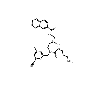 C#Cc1cc(C)cc(CN2CC[C@@H](CNC(=O)c3ccc4ccccc4c3)N[C@@H](CCCN)C2=O)c1